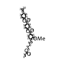 C=CC(=O)OCCCCSc1ccc(C(=O)Oc2ccc(C(=O)Oc3ccc(C4CC4)cc3)cc2)cc1OC